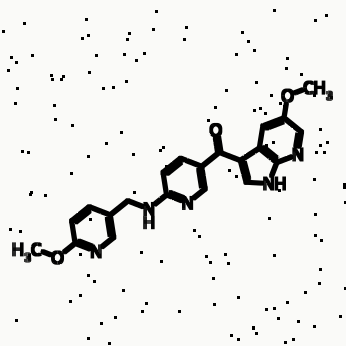 COc1cnc2[nH]cc(C(=O)c3ccc(NCc4ccc(OC)nc4)nc3)c2c1